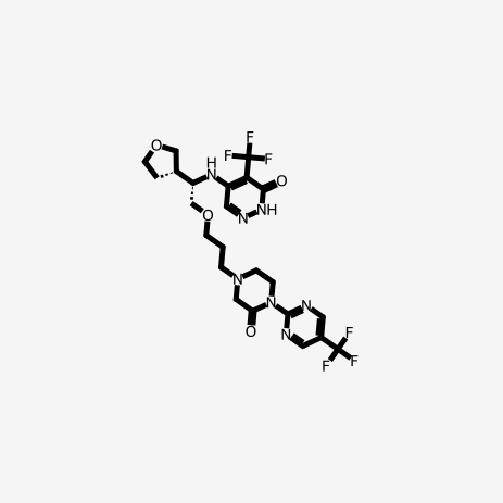 O=C1CN(CCCOC[C@@H](Nc2cn[nH]c(=O)c2C(F)(F)F)[C@@H]2CCOC2)CCN1c1ncc(C(F)(F)F)cn1